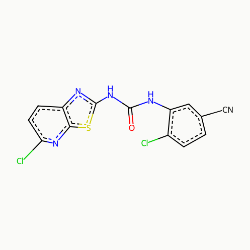 N#Cc1ccc(Cl)c(NC(=O)Nc2nc3ccc(Cl)nc3s2)c1